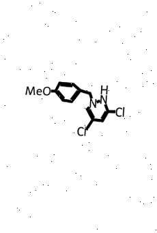 COc1ccc(CN2C=C(Cl)C=C(Cl)N2)cc1